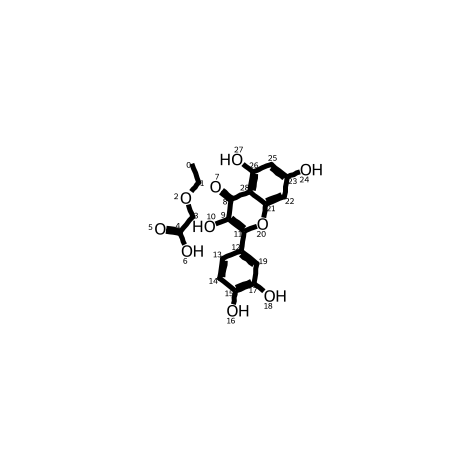 CCOCC(=O)O.O=c1c(O)c(-c2ccc(O)c(O)c2)oc2cc(O)cc(O)c12